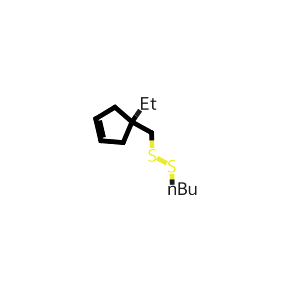 CCCCSSCC1(CC)CC=CC1